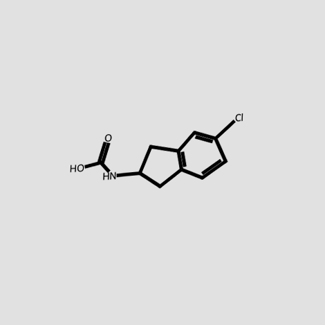 O=C(O)NC1Cc2ccc(Cl)cc2C1